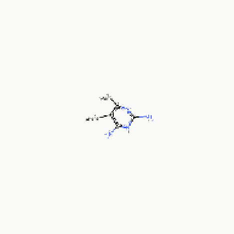 CCCCCc1nc(N)nc(N)c1CCCCC